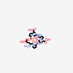 N[C@@H](CCC(=O)O)C(=O)N1CCC[C@H]1C(=O)N[C@@H](CCC(=O)O)C(=O)N1CCC[C@H]1C(=O)N[C@@H](CCC(=O)O)C(=O)N1CCC[C@H]1C(=O)O